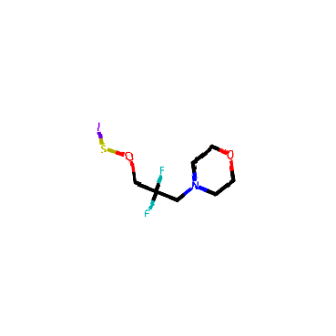 FC(F)(COSI)CN1CCOCC1